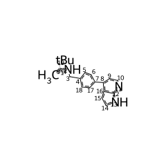 C[C@@H](NCc1ccc(-c2ccnc3[nH]ccc23)cc1)C(C)(C)C